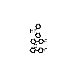 Fc1ccc(-c2ccccc2Oc2ccccc2-c2ccc(F)cc2)cc1.c1ccc(Pc2ccccc2)cc1